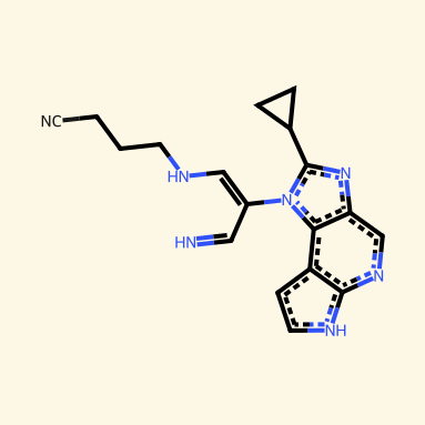 N#CCCCN/C=C(\C=N)n1c(C2CC2)nc2cnc3[nH]ccc3c21